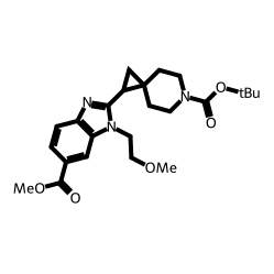 COCCn1c(C2CC23CCN(C(=O)OC(C)(C)C)CC3)nc2ccc(C(=O)OC)cc21